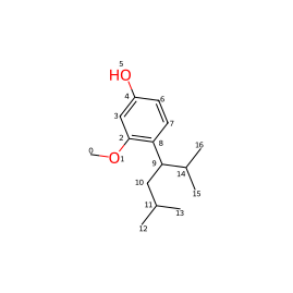 COc1cc(O)ccc1C(CC(C)C)C(C)C